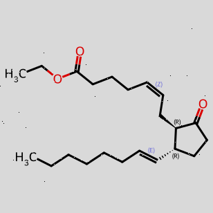 CCCCCC/C=C/[C@H]1CCC(=O)[C@@H]1C/C=C\CCCC(=O)OCC